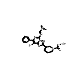 CCCCOC(=O)N1CCCC(c2nc3c(Br)c(-c4ccccc4)nc(N=CN(C)C)n3n2)C1